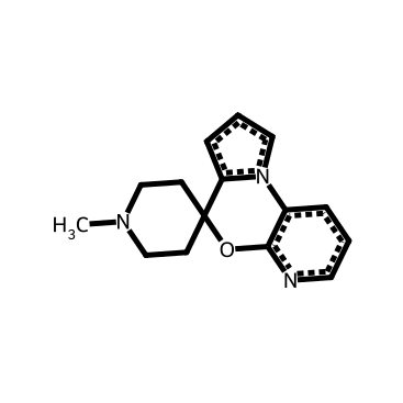 CN1CCC2(CC1)Oc1ncccc1-n1cccc12